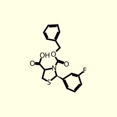 O=C(O)C1CS[C@H](c2cccc(F)c2)N1C(=O)OCc1ccccc1